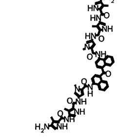 Cc1c(N)c[nH]c1C(=O)Nc1c[nH]c(C(=O)Nc2cc(C(=O)Nc3ccc(C(=O)c4ccc(NC(=O)c5cc(NC(=O)c6[nH]cc(NC(=O)c7[nH]cc(N)c7C)c6C)cn5C)c5ccccc45)c4ccccc34)n(C)c2)c1C